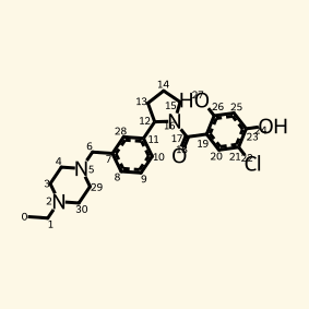 CCN1CCN(Cc2cccc(C3CCCN3C(=O)c3cc(Cl)c(O)cc3O)c2)CC1